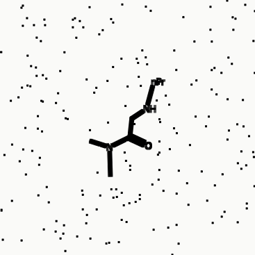 CCCNCC(=O)N(C)C